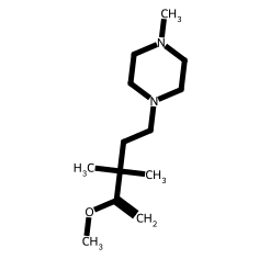 C=C(OC)C(C)(C)CCN1CCN(C)CC1